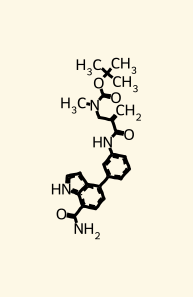 C=C(CN(C)C(=O)OC(C)(C)C)C(=O)Nc1cccc(-c2ccc(C(N)=O)c3[nH]ccc23)c1